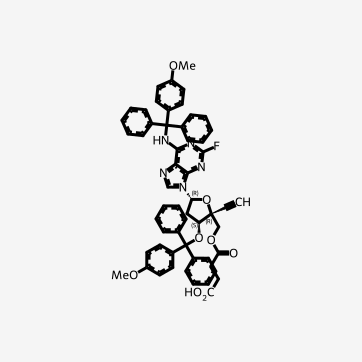 C#C[C@]1(COC(=O)CCC(=O)O)O[C@@H](n2cnc3c(NC(c4ccccc4)(c4ccccc4)c4ccc(OC)cc4)nc(F)nc32)C[C@@H]1OC(c1ccccc1)(c1ccccc1)c1ccc(OC)cc1